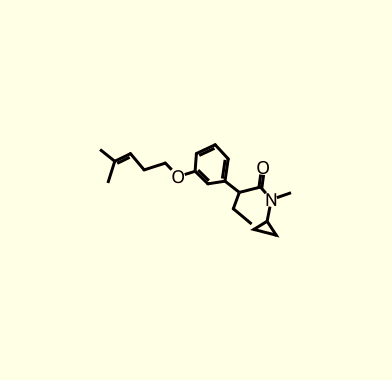 CCC(C(=O)N(C)C1CC1)c1cccc(OCCC=C(C)C)c1